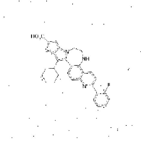 O=C(O)c1cc2c(s1)c(C1CCCCC1)c1n2CCNc2c-1ccc1nc(-c3ccccc3F)ccc21